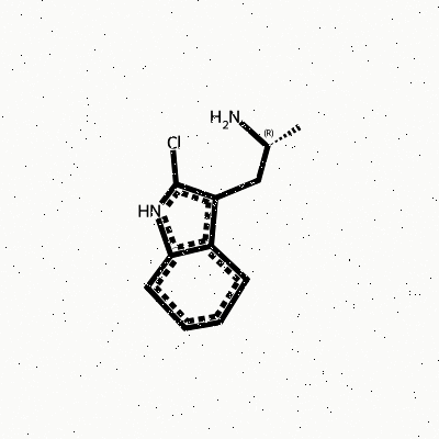 C[C@@H](N)Cc1c(Cl)[nH]c2ccccc12